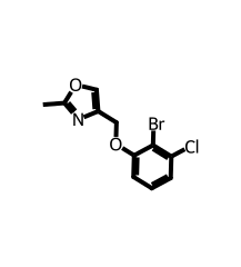 Cc1nc(COc2cccc(Cl)c2Br)co1